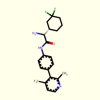 Cc1nccc(C(F)(F)F)c1-c1ccc(NC(=O)C(N)[C@H]2CCCC(F)(F)C2)cc1